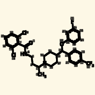 CC(CCNC(=O)c1c(Cl)cncc1Cl)N1CCC(C(Oc2cccc(F)n2)c2ccc(C(F)(F)F)cc2)CC1